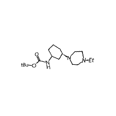 CCN1CCN([C@@H]2CCCC(NC(=O)OC(C)(C)C)C2)CC1